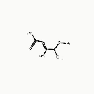 CCCC(=O)/C=C(\O)C(C)OC(C)C